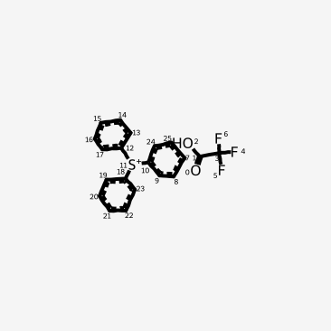 O=C(O)C(F)(F)F.c1ccc([S+](c2ccccc2)c2ccccc2)cc1